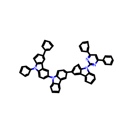 c1ccc(-c2ccc3c(c2)c2cc(-n4c5ccccc5c5cc(-c6ccc7c(c6)c6ccccc6n7-c6nc(-c7ccccc7)cc(-c7ccccc7)n6)ccc54)ccc2n3-c2ccccc2)cc1